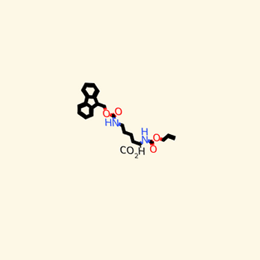 C=CCOC(=O)N[C@@H](CCCCNC(=O)OCC1c2ccccc2-c2ccccc21)C(=O)O